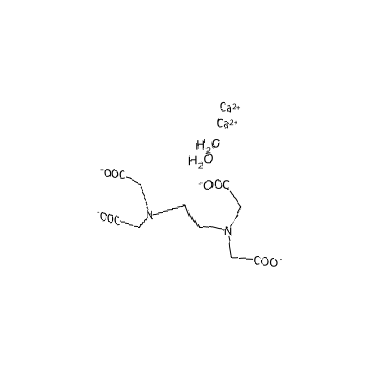 O.O.O=C([O-])CN(CCN(CC(=O)[O-])CC(=O)[O-])CC(=O)[O-].[Ca+2].[Ca+2]